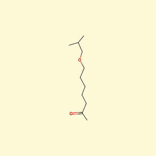 CC(=O)CCCCCOCC(C)C